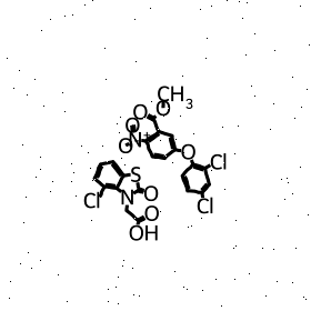 COC(=O)c1cc(Oc2ccc(Cl)cc2Cl)ccc1[N+](=O)[O-].O=C(O)Cn1c(=O)sc2cccc(Cl)c21